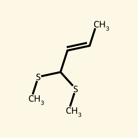 CC=CC(SC)SC